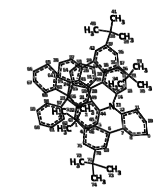 CC(C)(C)c1cc(-c2ccccc2N(c2ccccc2-c2cccc3cccc(-c4cc(C(C)(C)C)cc(C(C)(C)C)c4)c23)c2cccc3c2-c2ccccc2C3(c2ccccc2)c2ccccc2)cc(C(C)(C)C)c1